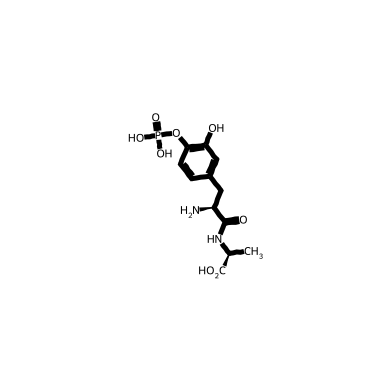 C[C@H](NC(=O)[C@@H](N)Cc1ccc(OP(=O)(O)O)c(O)c1)C(=O)O